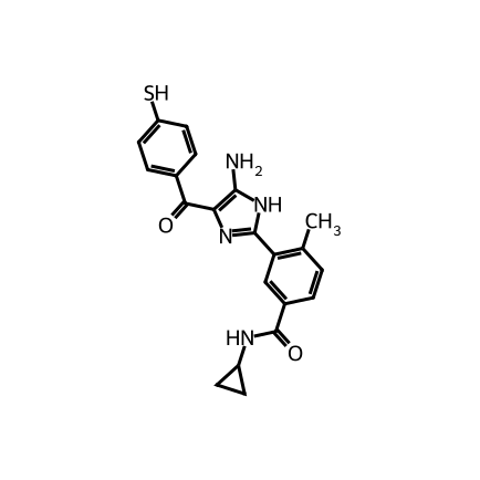 Cc1ccc(C(=O)NC2CC2)cc1-c1nc(C(=O)c2ccc(S)cc2)c(N)[nH]1